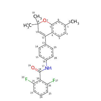 Cc1ccc2c(c1)OC(C)(C)C=C2c1ccc(NC(=O)c2c(F)cccc2F)cc1